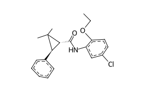 CCOc1ccc(Cl)cc1NC(=O)[C@@H]1[C@@H](c2ccccc2)C1(C)C